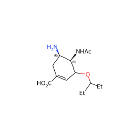 CCC(CC)OC1C=C(C(=O)O)C[C@@H](N)[C@H]1NC(C)=O